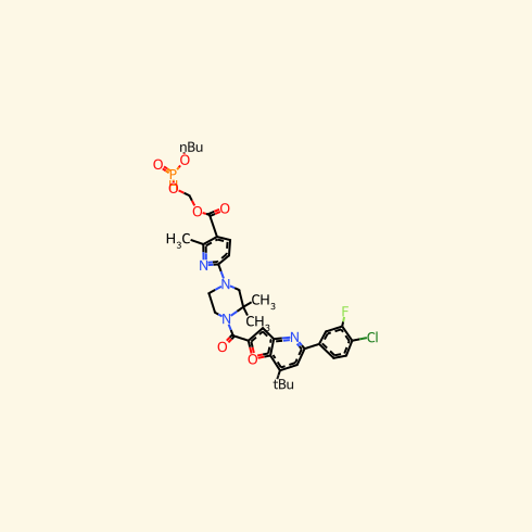 CCCCO[PH](=O)OCOC(=O)c1ccc(N2CCN(C(=O)c3cc4nc(-c5ccc(Cl)c(F)c5)cc(C(C)(C)C)c4o3)C(C)(C)C2)nc1C